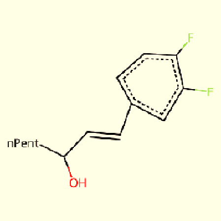 CCCCCC(O)/C=C/c1ccc(F)c(F)c1